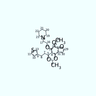 CCOc1c(C(=O)CCc2ccsc2)c(OCCN2CCCCC2)c(OC)c2occc12